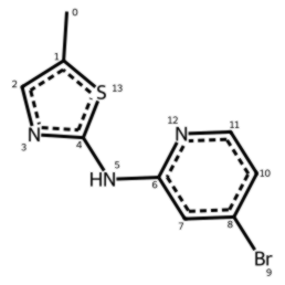 Cc1cnc(Nc2cc(Br)ccn2)s1